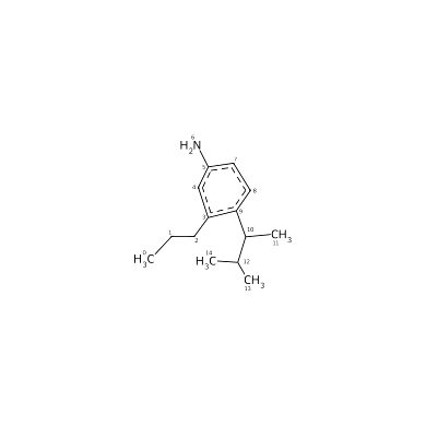 CCCc1cc(N)ccc1C(C)C(C)C